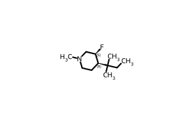 CCC(C)(C)[C@H]1CCN(C)C[C@H]1F